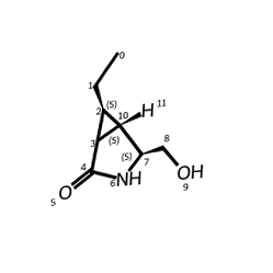 CC[C@@H]1C2C(=O)N[C@H](CO)[C@H]21